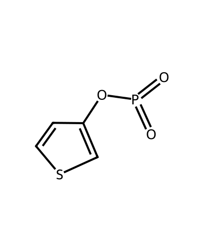 O=P(=O)Oc1ccsc1